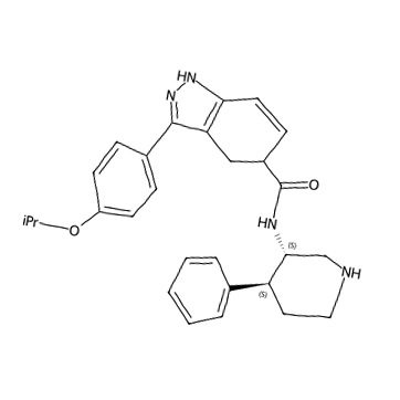 CC(C)Oc1ccc(-c2n[nH]c3c2CC(C(=O)N[C@@H]2CNCC[C@H]2c2ccccc2)C=C3)cc1